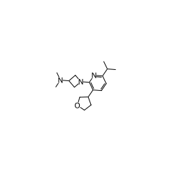 CC(C)c1ccc(C2CCOC2)c(N2CC(N(C)C)C2)n1